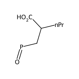 CCCC(CP=O)C(=O)O